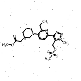 CCc1nc(-c2nnn(C)c2COS(C)(=O)=O)ccc1N1CCC[C@H](CC(=O)OC)C1